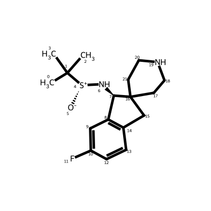 CC(C)(C)[S@@+]([O-])N[C@@H]1c2cc(F)ccc2CC12CCNCC2